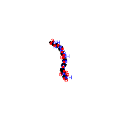 CCc1cc2ncc(CN3CCN(c4ccc(NC(=O)c5cnn(C6CCN(c7ccc8c(c7)C(=O)N(C7CCC(=O)NC7=O)C8=O)CC6)c5)nc4)CC3)cc2[nH]c1=O